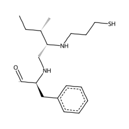 CC[C@H](C)[C@@H](CN[C@H]([C]=O)Cc1ccccc1)NCCCS